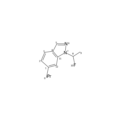 CC(C)c1ccc2cnn(C(C)F)c2c1